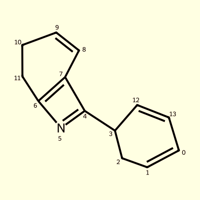 C1=CCC(C2=NC3=C2C=CCC3)C=C1